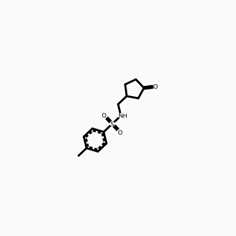 Cc1ccc(S(=O)(=O)NCC2CCC(=O)C2)cc1